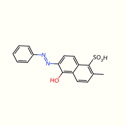 Cc1ccc2c(O)c(N=Nc3ccccc3)ccc2c1S(=O)(=O)O